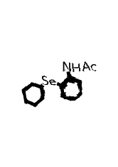 CC(=O)Nc1ccccc1[Se]C1CCCCC1